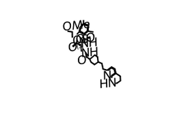 COCCCOC(=O)[C@H](CNC(=O)C1CCC(CCc2ccc3c(n2)NCCC3)CC1)NS(=O)(=O)c1c(C)cc(C)cc1C